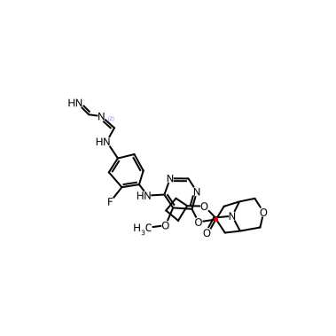 COc1c(Nc2ccc(N/C=N\C=N)cc2F)ncnc1OC1CC2COCC(C1)N2C(=O)OC1CCC1